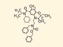 CCC1(C)Oc2cc(C)c(C(=O)N(C(C)C)C3CCCCC3)cc2N(CCN(Cc2ccccc2)C(=O)OCc2ccccc2)C1=O